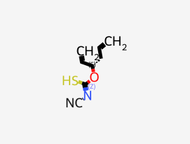 C=CC[C@@H](C=C)O/C(S)=N/C#N